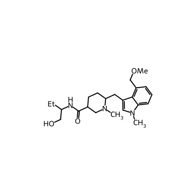 CCC(CO)NC(=O)C1CCC(Cc2cn(C)c3cccc(COC)c23)N(C)C1